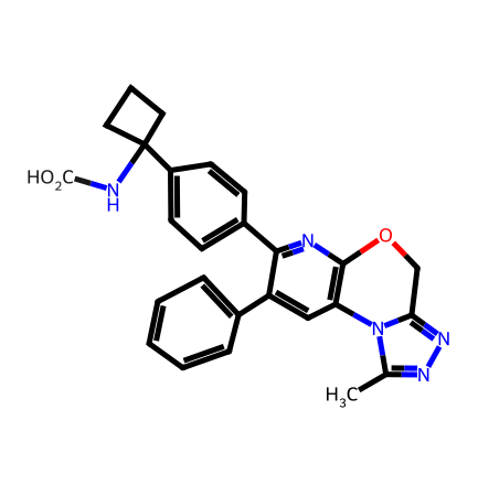 Cc1nnc2n1-c1cc(-c3ccccc3)c(-c3ccc(C4(NC(=O)O)CCC4)cc3)nc1OC2